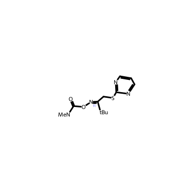 CNC(=O)O/N=C(/CSc1ncccn1)C(C)(C)C